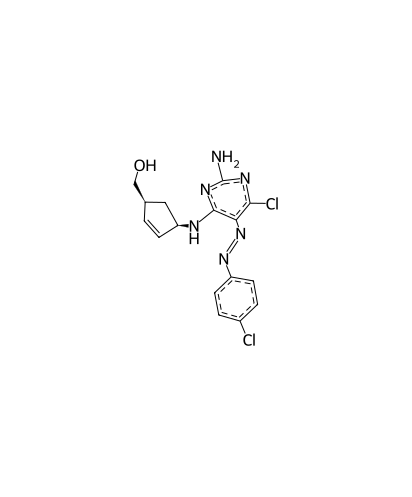 Nc1nc(Cl)c(N=Nc2ccc(Cl)cc2)c(N[C@H]2C=C[C@@H](CO)C2)n1